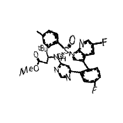 COC(=O)CC(Nc1cc(-c2cc(F)ccc2-c2cn(S(=O)(=O)c3ccc(C)cc3)c3ncc(F)cc23)ncn1)C(C)(C)C